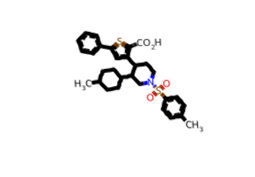 Cc1ccc(S(=O)(=O)N2CCC(c3cc(-c4ccccc4)sc3C(=O)O)C(C3CCC(C)CC3)C2)cc1